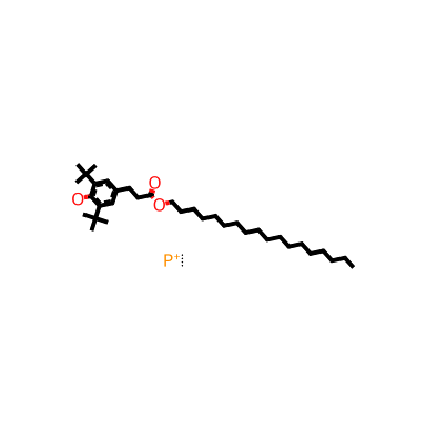 CCCCCCCCCCCCCCCCCCOC(=O)CCc1cc(C(C)(C)C)c([O-])c(C(C)(C)C)c1.[P+]